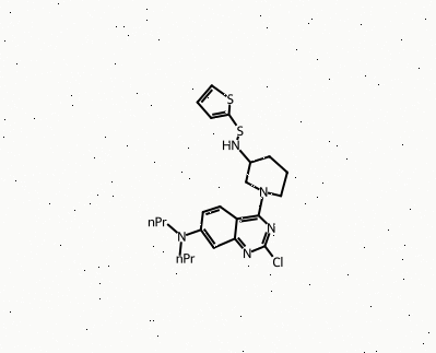 CCCN(CCC)c1ccc2c(N3CCCC(NSc4cccs4)C3)nc(Cl)nc2c1